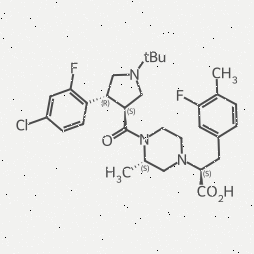 Cc1ccc(C[C@@H](C(=O)O)N2CCN(C(=O)[C@@H]3CN(C(C)(C)C)C[C@H]3c3ccc(Cl)cc3F)[C@@H](C)C2)cc1F